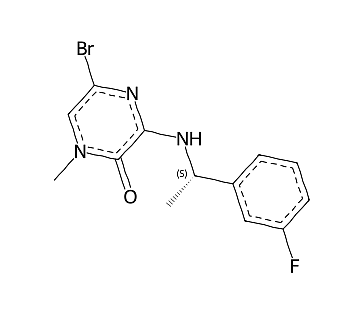 C[C@H](Nc1nc(Br)cn(C)c1=O)c1cccc(F)c1